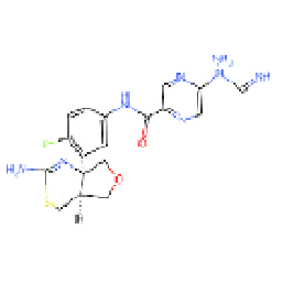 N=CN(N)c1cnc(C(=O)Nc2ccc(F)c([C@]34COC[C@H]3CSC(N)=N4)c2)cn1